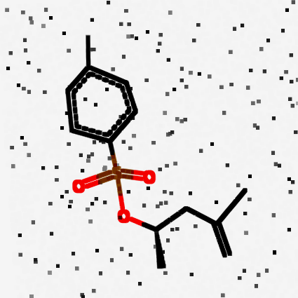 C=C(C)C[C@@H](C)OS(=O)(=O)c1ccc(C)cc1